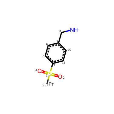 CCCS(=O)(=O)c1ccc(C[NH])cc1